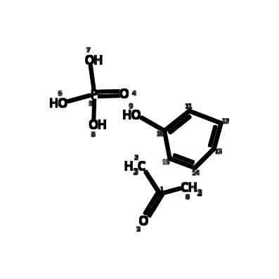 CC(C)=O.O=P(O)(O)O.Oc1ccccc1